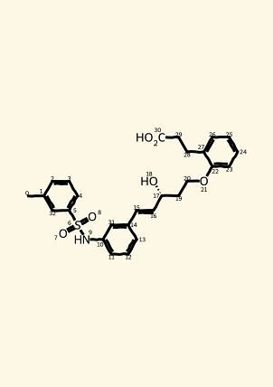 Cc1cccc(S(=O)(=O)Nc2cccc(/C=C/[C@H](O)CCOc3ccccc3CCC(=O)O)c2)c1